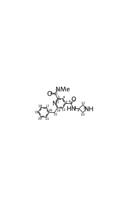 CNC(=O)c1cc(C(=O)NC2CNC2)cc(Cc2ccccc2)n1